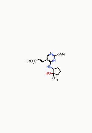 CCOC(=O)/C=C/c1cnc(SC)nc1NC1CCCC1(C)O